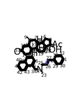 CC(=O)[C@@]1(O)CC[C@H]2[C@@H]3C[C@H](C)C4=CC(=O)CC[C@]4(C)[C@H]3CC[C@@]21C.CN(C/C=C/c1ccccc1)Cc1cccc2ccccc12